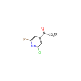 CCOC(=O)C(=O)c1cc(Cl)nc(Br)c1